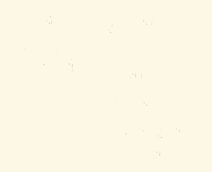 CCCC(C)(Nc1cnc(C(N)=O)c(Nc2cccc(-n3nccn3)n2)c1)C(N)=O